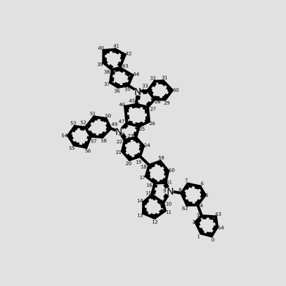 c1ccc(-c2cccc(-n3c4ccccc4c4cc(-c5ccc6c(c5)c5cc7c8ccccc8n(-c8ccc9ccccc9c8)c7cc5n6-c5ccc6ccccc6c5)ccc43)c2)cc1